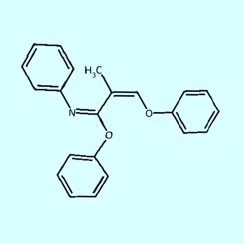 CC(=COc1ccccc1)C(=Nc1ccccc1)Oc1ccccc1